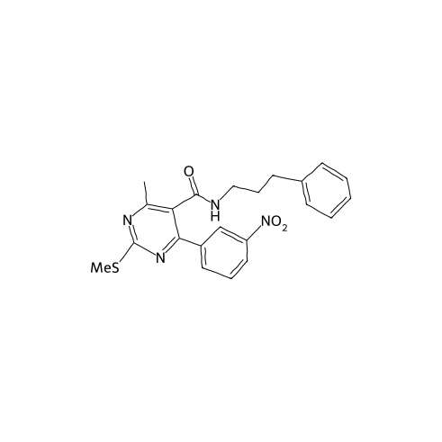 CSc1nc(C)c(C(=O)NCCCc2ccccc2)c(-c2cccc([N+](=O)[O-])c2)n1